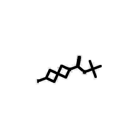 CC(C)(C)OC(=O)N1CC2(CC(I)C2)C1